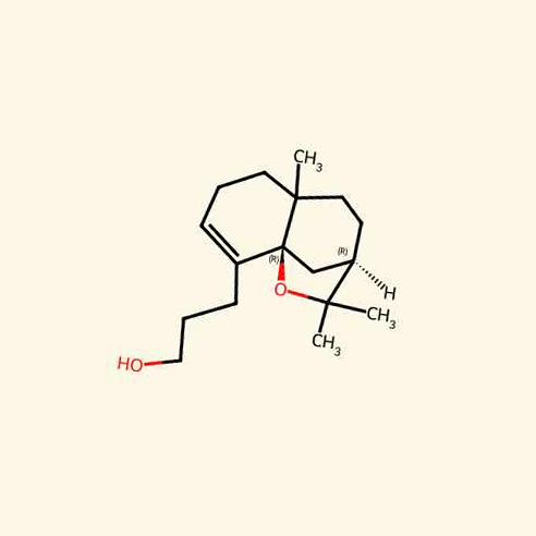 CC1(C)O[C@]23C[C@H]1CCC2(C)CCC=C3CCCO